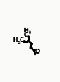 C=CC(CC)CCC1CO1